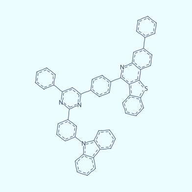 c1ccc(-c2ccc3c(c2)nc(-c2ccc(-c4cc(-c5ccccc5)nc(-c5cccc(-n6c7ccccc7c7ccccc76)c5)n4)cc2)c2c4ccccc4sc32)cc1